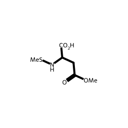 COC(=O)CC(NSC)C(=O)O